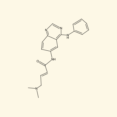 CN(C)C/C=C/C(=O)Nc1ccc2ncnc(Nc3ccccc3)c2c1